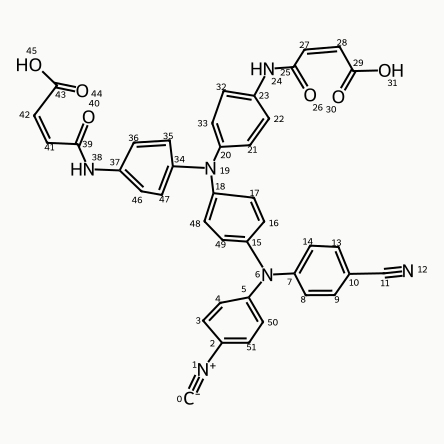 [C-]#[N+]c1ccc(N(c2ccc(C#N)cc2)c2ccc(N(c3ccc(NC(=O)/C=C\C(=O)O)cc3)c3ccc(NC(=O)/C=C\C(=O)O)cc3)cc2)cc1